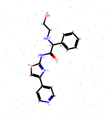 O=C(Nc1nc(-c2ccncc2)cs1)C(NCCO)c1ccccc1